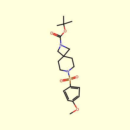 COc1ccc(S(=O)(=O)N2CCC3(CC2)CN(C(=O)OC(C)(C)C)C3)cc1